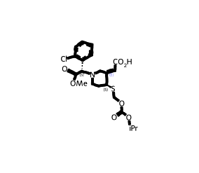 COC(=O)[C@H](c1ccccc1Cl)N1CC[C@H](SCOC(=O)OC(C)C)/C(=C/C(=O)O)C1